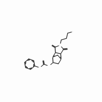 Cl.NCCCN1C(=O)C2C3CC(OC(=O)Nc4ccccc4)C(C3)C2C1=O